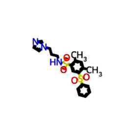 Cc1cc(C)c(S(=O)(=O)c2ccccc2)cc1S(=O)(=O)NCCCn1ccnc1